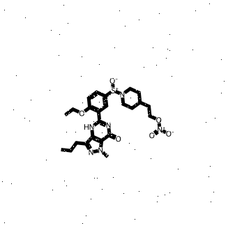 CCCc1nn(C)c2c(=O)nc(-c3cc([S+]([O-])N4CCC(CCO[N+](=O)[O-])CC4)ccc3OCC)[nH]c12